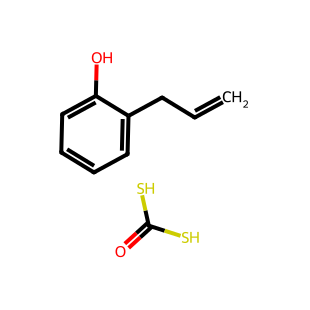 C=CCc1ccccc1O.O=C(S)S